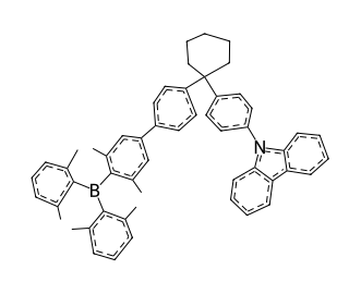 Cc1cccc(C)c1B(c1c(C)cccc1C)c1c(C)cc(-c2ccc(C3(c4ccc(-n5c6ccccc6c6ccccc65)cc4)CCCCC3)cc2)cc1C